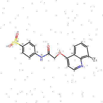 O=C(COc1ccnc2c(C(F)(F)F)cccc12)Nc1ccc([SH](=O)=O)cc1